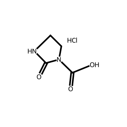 Cl.O=C(O)N1CCNC1=O